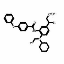 CCC(CC(=O)O)c1ccc(N(CC(C)C)C2CCCCC2)c(NC(=O)c2ccc(Oc3ccccc3)cc2)c1